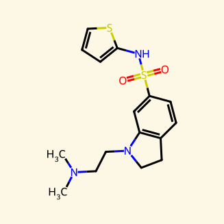 CN(C)CCN1CCc2ccc(S(=O)(=O)Nc3cccs3)cc21